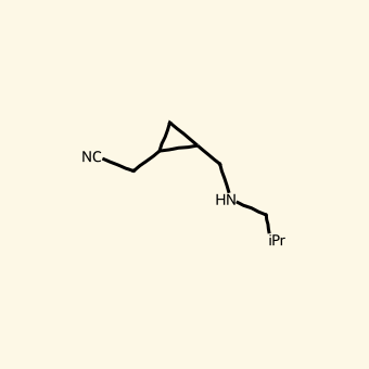 CC(C)CNCC1CC1CC#N